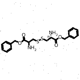 NC(CSSC[C@H](N)C(=O)OCc1ccccc1)C(=O)OCc1ccccc1